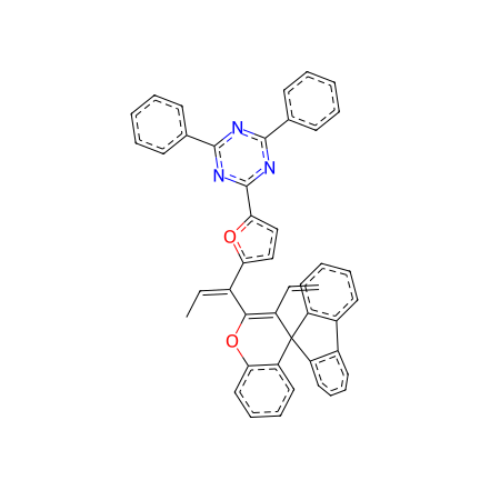 C=CC1=C(/C(=C\C)c2ccc(-c3nc(-c4ccccc4)nc(-c4ccccc4)n3)o2)Oc2ccccc2C12c1ccccc1-c1ccccc12